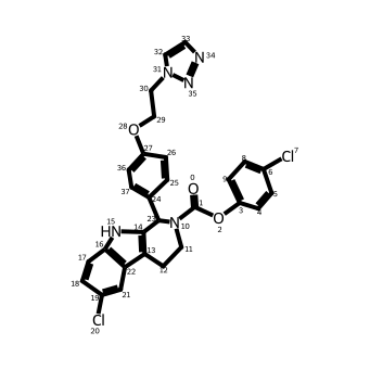 O=C(Oc1ccc(Cl)cc1)N1CCc2c([nH]c3ccc(Cl)cc23)C1c1ccc(OCCn2ccnn2)cc1